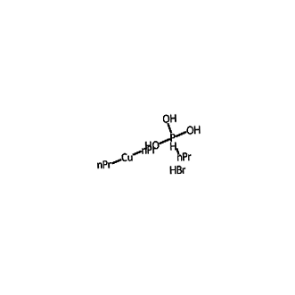 Br.CCC[PH](O)(O)O.CC[CH2][Cu][CH2]CC